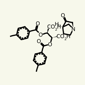 Cc1ccc(C(=O)O[C@@H](C(=O)O)[C@@H](OC(=O)c2ccc(C)cc2)C(=O)O)cc1.O=C1C[N@@]2CC[C@@H]1C2